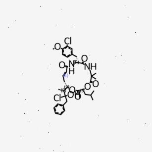 COc1ccc(C[C@H]2NC(=O)/C=C/C[C@@H]([C@H](C)C(O)(Cl)Cc3ccccc3)OC(=O)[C@H](CC(C)C)OC(=O)C(C)(C)CNC2=O)cc1Cl